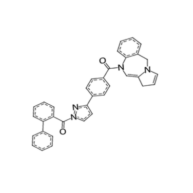 O=C(c1ccc(-c2ccn(C(=O)c3ccccc3-c3ccccc3)n2)cc1)N1C=C2CC=CN2Cc2ccccc21